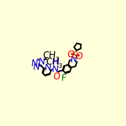 CC(C)n1cnnc1-c1cccc(NC(=O)c2cc3c(cc2F)CCN(S(=O)(=O)C2CCCC2)C3)n1